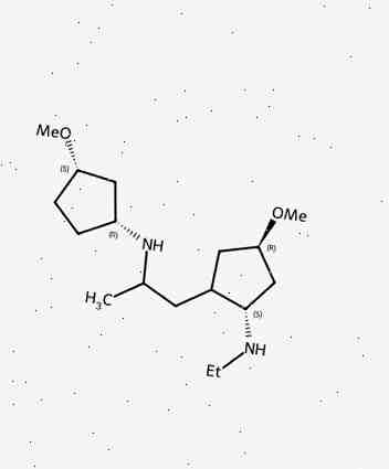 CCN[C@H]1C[C@H](OC)CC1CC(C)N[C@@H]1CC[C@H](OC)C1